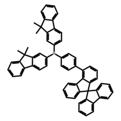 CC1(C)c2ccccc2-c2ccc(N(c3ccc(-c4cccc5c4-c4ccccc4C54c5ccccc5-c5ccccc54)cc3)c3ccc4c(c3)C(C)(C)c3ccccc3-4)cc21